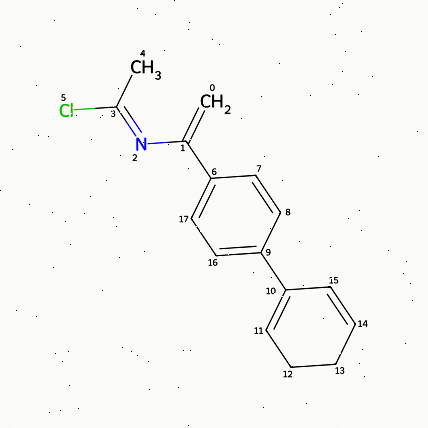 C=C(/N=C(\C)Cl)c1ccc(C2=CCCC=C2)cc1